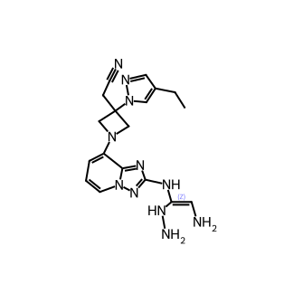 CCc1cnn(C2(CC#N)CN(c3cccn4nc(N/C(=C/N)NN)nc34)C2)c1